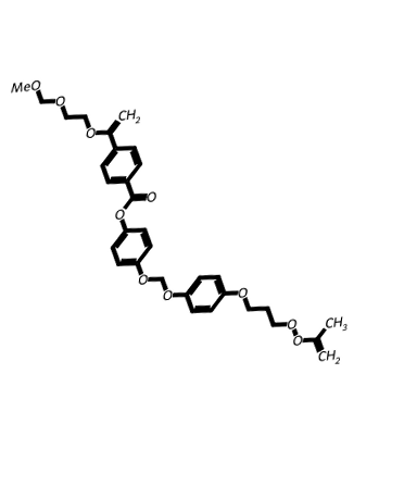 C=C(C)OOCCCOc1ccc(OCOc2ccc(OC(=O)c3ccc(C(=C)OCCOCOC)cc3)cc2)cc1